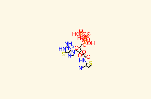 N#Cc1ccsc1NC(=O)[C@@H]1OC2C(COP(=O)(O)OP(=O)(O)OP(=O)(O)O)OC(n3cnc4c(=S)[nH]c(N)nc43)C2O1